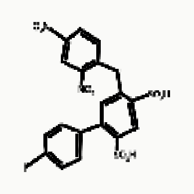 O=[N+]([O-])c1ccc([CH]c2cc(-c3ccc(I)cc3)c(S(=O)(=O)O)cc2S(=O)(=O)O)c([N+](=O)[O-])c1